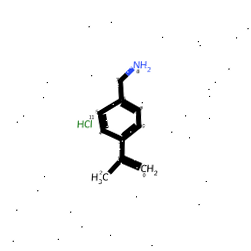 C=C(C)c1ccc(CN)cc1.Cl